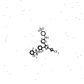 CS(=O)(=O)C1CCC(Nc2nccc(-c3sc(C45CC(C(F)(F)F)(C4)C5)nc3-c3cccc(NS(=O)(=O)c4c(F)cccc4C(F)(F)F)c3F)n2)CC1